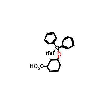 CC(C)(C)[Si](OC1CCCC(C(=O)O)C1)(c1ccccc1)c1ccccc1